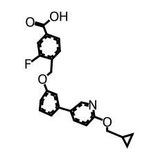 O=C(O)c1ccc(COc2cccc(-c3ccc(OCC4CC4)nc3)c2)c(F)c1